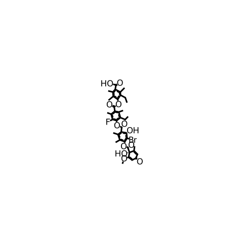 CCc1c(C)c(C(=O)O)c(C)c(C)c1OC(=O)c1c(C)c(F)c(OC(=O)c2c(C)c(C)c(OC(=O)[C@@]3(O)C(C)=CC(=O)C=C3OC)c(Br)c2O)c(CC)c1C